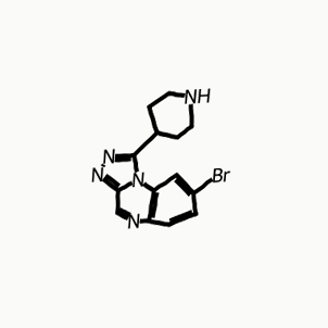 Brc1ccc2ncc3nnc(C4CCNCC4)n3c2c1